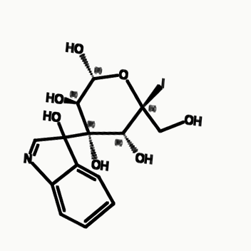 OC[C@@]1(I)O[C@@H](O)[C@H](O)[C@](O)(C2(O)C=Nc3ccccc32)[C@H]1O